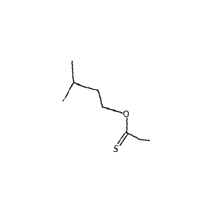 CC(=S)OCCC(C)C